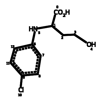 O=C(O)C(CCO)Nc1ccc(Cl)cc1